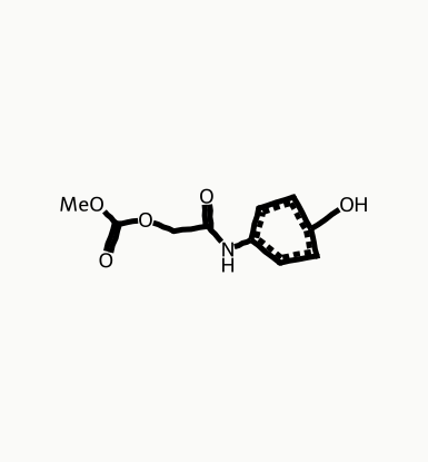 COC(=O)OCC(=O)Nc1ccc(O)cc1